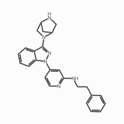 c1ccc(CCNc2cc(-n3nc(N4CC5CC4CN5)c4ccccc43)ccn2)cc1